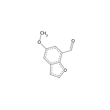 COc1cc(C=O)c2occc2c1